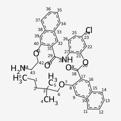 CCCC(C)(C)COc1cc2ccccc2cc1C(=O)Oc1cc(Cl)ccc1NC(=O)c1cc2ccccc2cc1OCCN